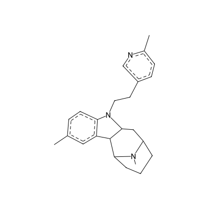 Cc1ccc2c(c1)C1C(CC3CCCC1N3C)N2CCc1ccc(C)nc1